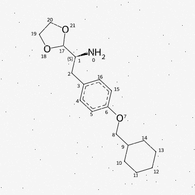 N[C@@H](Cc1ccc(OCC2CCCCC2)cc1)C1OCCO1